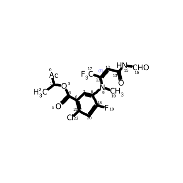 CC(=O)C(C)OC(=O)c1cc(N(C)/C(=C\C(=O)NC=O)C(F)(F)F)c(F)cc1Cl